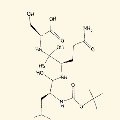 CC(C)C[C@H](NC(=O)OC(C)(C)C)C(O)N[C@H](CCC(N)=O)C(O)(S)N[C@@H](CO)C(=O)O